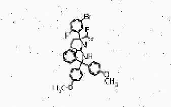 COc1ccc(C(NC2=NC(c3cc(Br)ccc3F)(C(F)F)CCO2)(c2ccccc2)c2ccc(OC)cc2)cc1